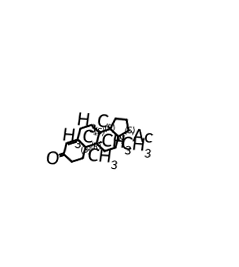 CC(=O)[C@H]1CC[C@@]2(C)[C@]3(C)CCC4=CC(=O)CC[C@]4(C)[C@@]3(C)CC[C@]12C